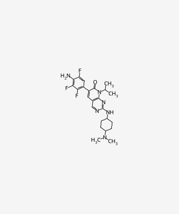 CC(C)n1c(=O)c(-c2cc(F)c(N)c(F)c2F)cc2cnc(NC3CCC(N(C)C)CC3)nc21